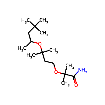 CC(CC(C)(C)C)OC(C)(C)CCOC(C)(C)C(N)=O